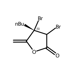 C=C1OC(=O)C(Br)[C@]1(Br)CCCC